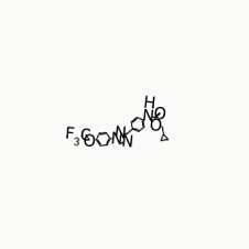 O=C(Nc1ccc(-c2ncn(-c3ccc(OC(F)(F)F)cc3)n2)cc1)OCC1CC1